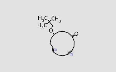 CC(C)(C)COC1CC/C=C/CC/C=C\CCC(=O)CCC1